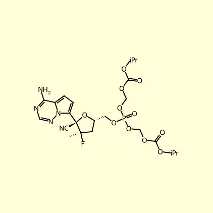 CC(C)OC(=O)OCOP(=O)(OCOC(=O)OC(C)C)OC[C@@H]1C[C@@](C)(F)[C@](C#N)(c2ccc3c(N)ncnn23)O1